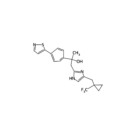 CC(O)(Cc1nc(CC2(C(F)(F)F)CC2)c[nH]1)c1ccc(-c2ccns2)cc1